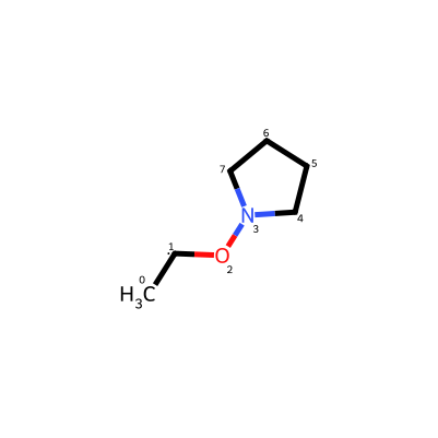 C[CH]ON1CCCC1